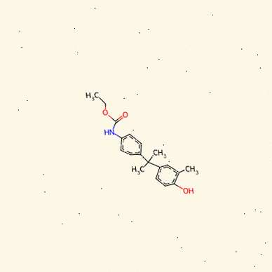 CCOC(=O)Nc1ccc(C(C)(C)c2ccc(O)c(C)c2)cc1